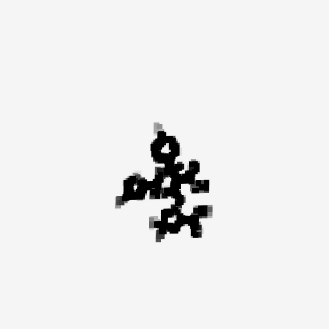 CC1(c2ccc(F)cc2)N=C(c2cc(F)cs2)NC(CN2CC(F)(F)CC2C(=O)O)=C1C(=O)O